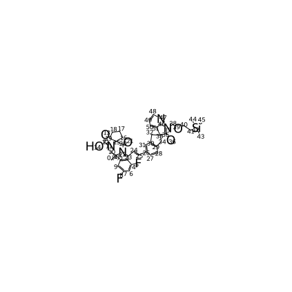 C[C@@]1(c2cc(F)cc(F)c2)CN(C(=O)O)C2(CCCC2)C(=O)N1CC=Cc1ccc2c(c1)CC1(C2)C(=O)N(COCC[Si](C)(C)C)c2ncccc21